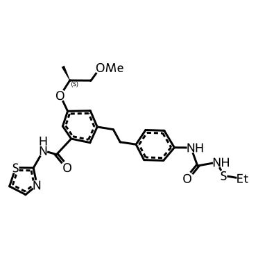 CCSNC(=O)Nc1ccc(CCc2cc(O[C@@H](C)COC)cc(C(=O)Nc3nccs3)c2)cc1